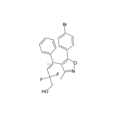 Cc1noc(-c2ccc(Br)cc2)c1/C(=C\C(F)(F)CO)c1ccccc1